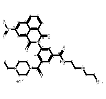 CCN1CCN(C(=O)c2cc(C(=O)NCCNCCN)cc(N3C(=O)c4cccc5cc([N+](=O)[O-])cc(c45)C3=O)c2)CC1.Cl